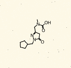 CN(CC1=NN(CC2CCCC2)C(=O)C1)C(=O)O